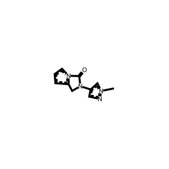 Cn1cc(N2Cc3cccn3C2=O)cn1